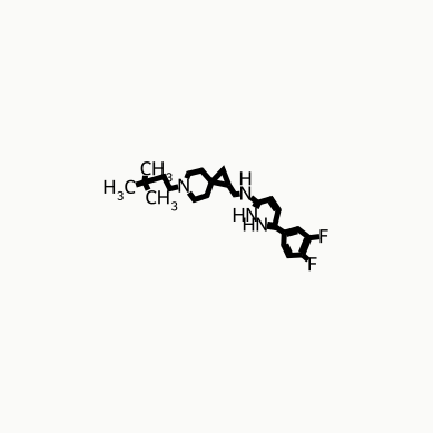 CC(C)(C)CCN1CCC2(CC1)CC2CNC(=N)/C=C\C(=N)c1ccc(F)c(F)c1